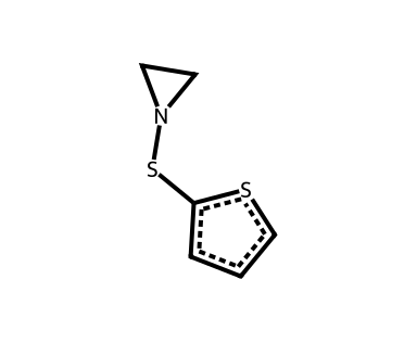 c1csc(SN2CC2)c1